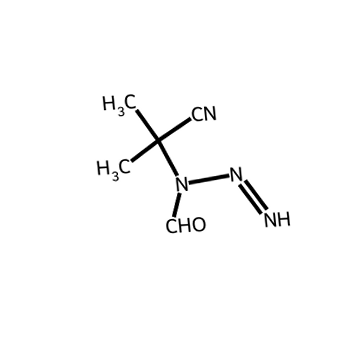 CC(C)(C#N)N(C=O)N=N